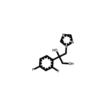 OCC(O)(Cn1cncn1)c1ccc(F)cc1F